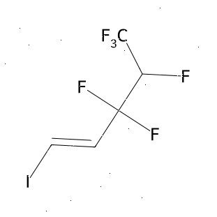 FC(C(F)(F)F)C(F)(F)C=CI